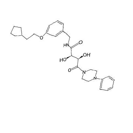 O=C(NCc1cccc(OCCC2CCCC2)c1)[C@H](O)[C@@H](O)C(=O)N1CCN(c2ccccc2)CC1